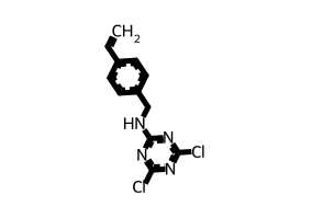 C=Cc1ccc(CNc2nc(Cl)nc(Cl)n2)cc1